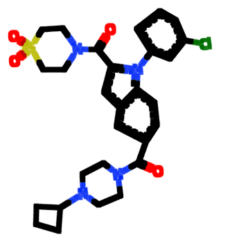 O=C(c1ccc2c(c1)cc(C(=O)N1CCS(=O)(=O)CC1)n2-c1cccc(Cl)c1)N1CCN(C2CCC2)CC1